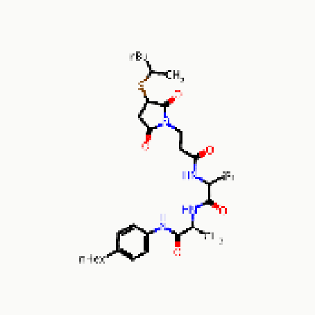 CCCCCCc1ccc(NC(=O)[C@H](C)NC(=O)C(NC(=O)CCN2C(=O)CC(SC(C)CCCC)C2=O)C(C)C)cc1